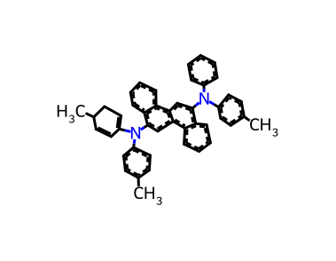 Cc1ccc(N(C2=CCC(C)C=C2)c2cc3c4ccccc4c(N(c4ccccc4)c4ccc(C)cc4)cc3c3ccccc23)cc1